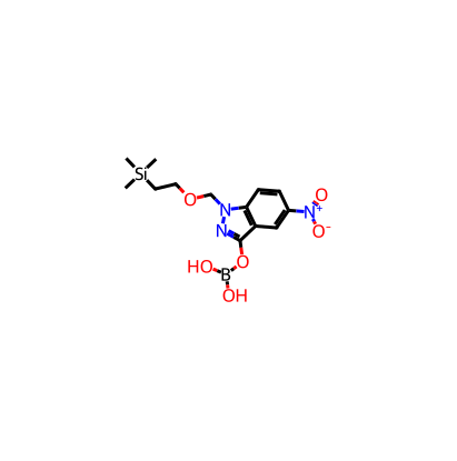 C[Si](C)(C)CCOCn1nc(OB(O)O)c2cc([N+](=O)[O-])ccc21